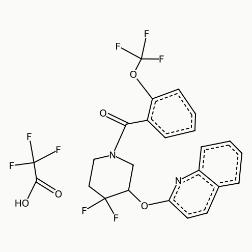 O=C(O)C(F)(F)F.O=C(c1ccccc1OC(F)(F)F)N1CCC(F)(F)C(Oc2ccc3ccccc3n2)C1